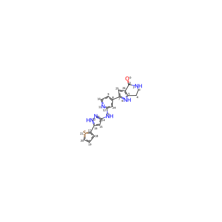 O=C1NCCc2[nH]c(-c3ccnc(Nc4cc(-c5cccs5)[nH]n4)c3)cc21